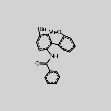 COc1ccccc1-c1cc(C(C)(C)C)ccc1NC(=O)c1ccccc1